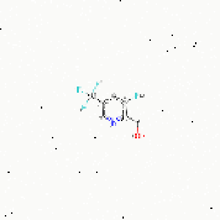 OCc1ncc(C(F)(F)F)cc1F